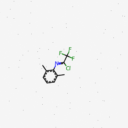 Cc1cccc(C)c1N=C(Cl)C(F)(F)F